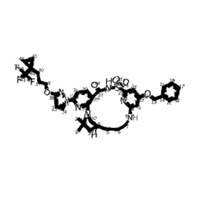 CC1(C)C[C@@H]2CCCNc3cc(OCc4ccccc4)cc(n3)S(=O)(=O)NC(=O)c3ccc(-n4ccc(OCCCC5(C(F)(F)F)CC5)n4)nc3N1C2